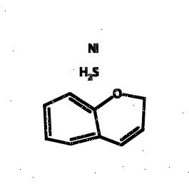 C1=Cc2ccccc2OC1.S.[Ni]